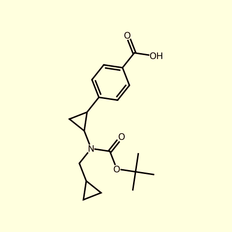 CC(C)(C)OC(=O)N(CC1CC1)C1CC1c1ccc(C(=O)O)cc1